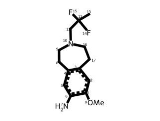 COc1cc2c(cc1N)CCN(CC(C)(F)F)CC2